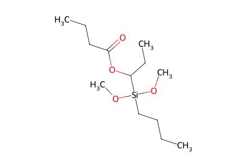 CCCC[Si](OC)(OC)C(CC)OC(=O)CCC